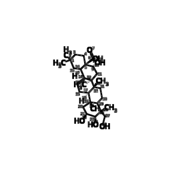 CC1(C)CC[C@]2(C(=O)O)[C@H](O)C[C@]3(C)C(=CC[C@@H]4[C@@]5(C)C[C@H](O)[C@H](O)C(C)(CO)C5CC[C@]43C)[C@H]2C1